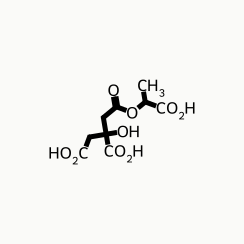 CC(OC(=O)CC(O)(CC(=O)O)C(=O)O)C(=O)O